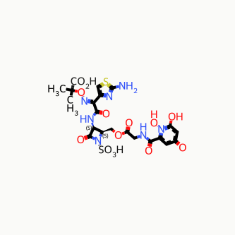 CC(C)(ON=C(C(=O)N[C@@H]1C(=O)N(S(=O)(=O)O)[C@@H]1COC(=O)CNC(=O)c1cc(=O)cc(O)n1O)c1csc(N)n1)C(=O)O